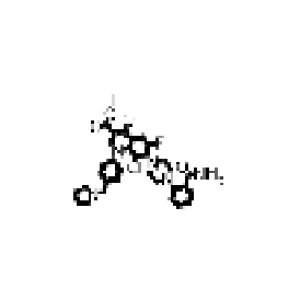 NC(=O)c1ccccc1N1CCN(c2c(F)cc3c(=O)c(C(=O)O)cn(-c4ccc(CN5CCCC5)cc4)c3c2Cl)CC1